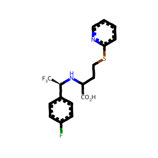 O=C(O)C(CCSc1ccccn1)N[C@@H](c1ccc(F)cc1)C(F)(F)F